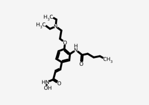 CCCCC(=O)Nc1cc(/C=C/C(=O)NO)ccc1OCCN(CC)CC